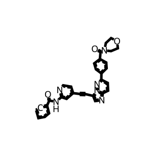 O=C(Nc1cc(C#Cc2cnc3ccc(-c4ccc(C(=O)N5CCOCC5)cc4)nn23)ccn1)c1ccccc1